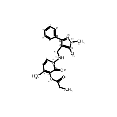 CCC(=O)Oc1c(C)ccn(NCc2c(-c3ccccc3)nn(C)c2Cl)c1=O